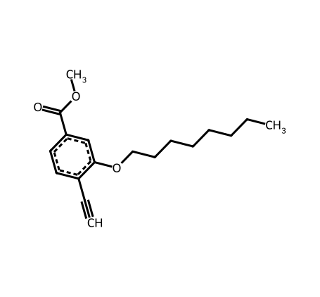 C#Cc1ccc(C(=O)OC)cc1OCCCCCCCC